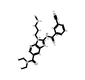 CCN(CC)C(=O)c1cnc2c(c1)nc(NC(=O)c1cccc(C#N)c1)n2CCCOC